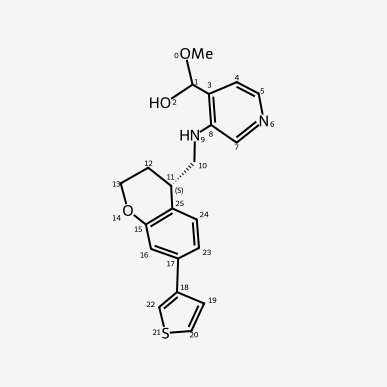 COC(O)c1ccncc1NC[C@H]1CCOc2cc(-c3ccsc3)ccc21